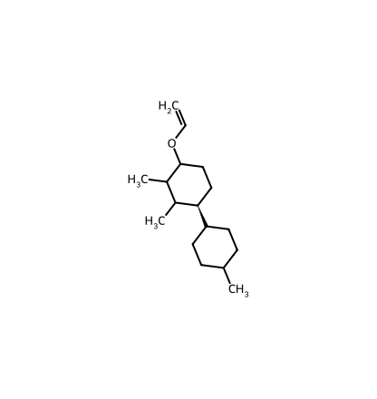 C=COC1CC[C@@H](C2CCC(C)CC2)C(C)C1C